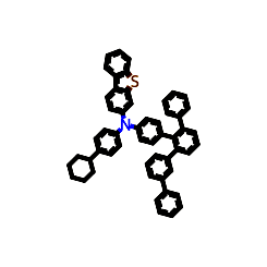 c1ccc(-c2cccc(-c3cccc(-c4ccccc4)c3-c3ccc(N(c4ccc(C5CCCCC5)cc4)c4ccc5c(c4)sc4ccccc45)cc3)c2)cc1